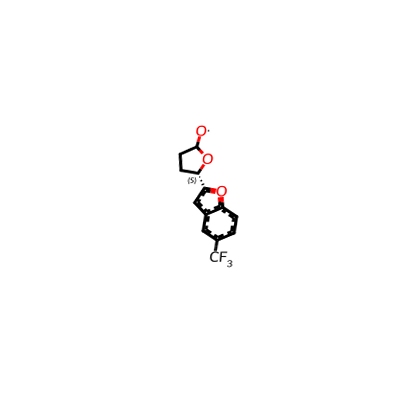 [O]C1CC[C@@H](c2cc3cc(C(F)(F)F)ccc3o2)O1